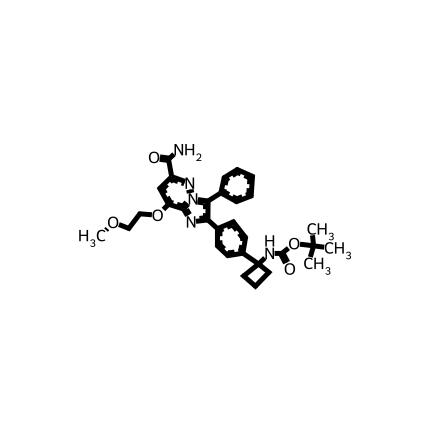 COCCOc1cc(C(N)=O)nn2c(-c3ccccc3)c(-c3ccc(C4(NC(=O)OC(C)(C)C)CCC4)cc3)nc12